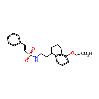 O=C(O)COc1cccc2c1CCCC2CCNS(=O)(=O)C=Cc1ccccc1